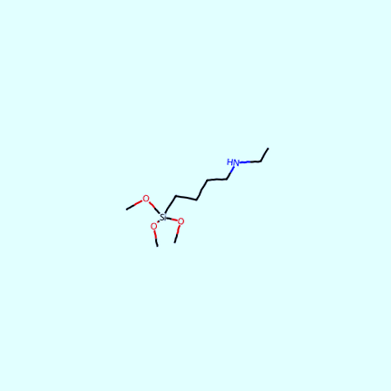 CCNCCCC[Si](OC)(OC)OC